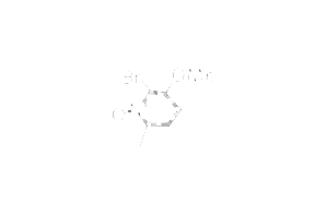 COc1ccc(C)[n+]([O-])c1Br